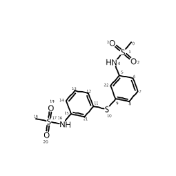 CS(=O)(=O)Nc1cccc(Sc2cccc(NS(C)(=O)=O)c2)c1